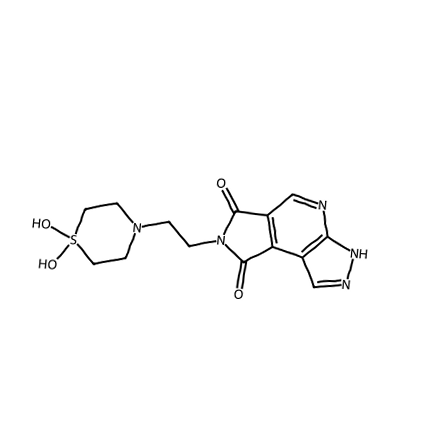 O=C1c2cnc3[nH]ncc3c2C(=O)N1CCN1CCS(O)(O)CC1